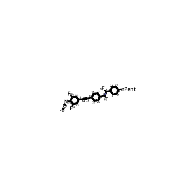 CCCCCc1ccc(/C(F)=C(\F)c2ccc(C#Cc3cc(F)c(N=C=S)c(F)c3)cc2)cc1